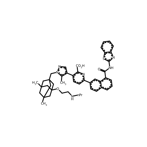 [CH2]CCNCCOC12CC3(C)CC(C)(CC(Cn4ncc(-c5ccc(-c6ccc7cccc(C(=O)Nc8nc9ccccc9s8)c7c6)nc5C(=O)O)c4C)(C3)C1)C2